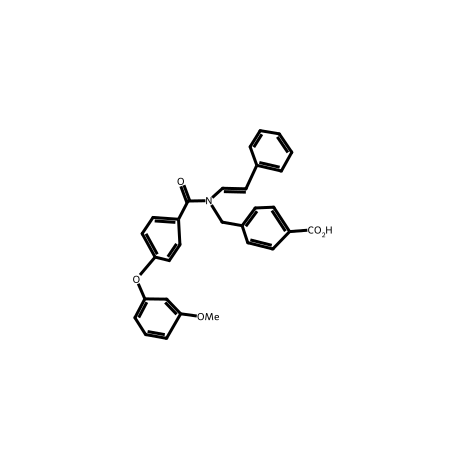 COc1cccc(Oc2ccc(C(=O)N(C=Cc3ccccc3)Cc3ccc(C(=O)O)cc3)cc2)c1